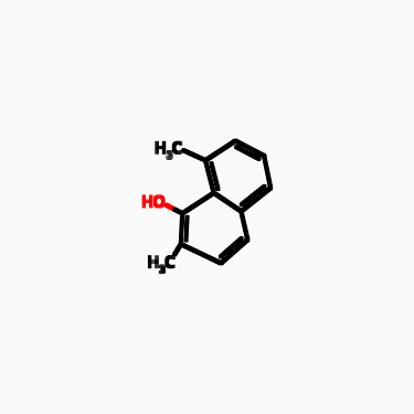 Cc1ccc2cccc(C)c2c1O